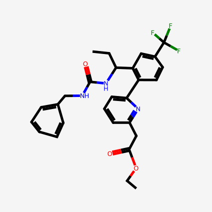 CCOC(=O)Cc1cccc(-c2ccc(C(F)(F)F)cc2C(CC)NC(=O)NCc2ccccc2)n1